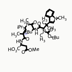 COC(=O)C[C@H](NC(=O)/C(C)=C/[C@H](C(C)C)N(C)C(=O)C(NC(=O)[C@@H](N(C)C(=O)OC(C)(C)C)C(C)(C)c1cn(C)c2ccccc12)C(C)(C)C)C(=O)O